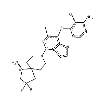 Cc1nc(N2CCC3(CC2)CC(F)(F)C[C@H]3N)n2ccnc2c1Sc1ccnc(N)c1Cl